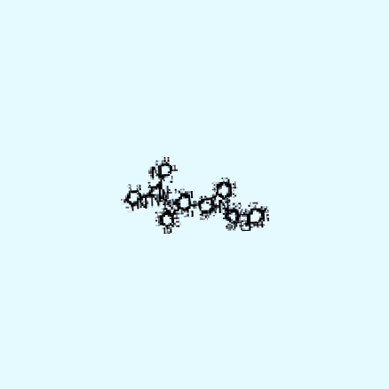 c1ccc(-c2cc(-c3ccccn3)nc(-n3c4ccccc4c4cc(-c5ccc6c(c5)c5ccccc5n6-c5ccc6oc7ccccc7c6c5)ccc43)n2)nc1